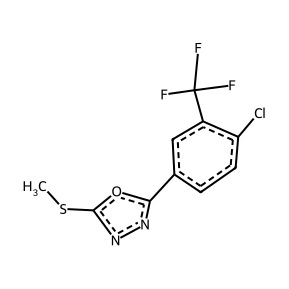 CSc1nnc(-c2ccc(Cl)c(C(F)(F)F)c2)o1